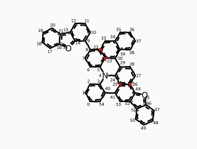 c1ccc(N(c2ccc(-c3cccc4c3oc3ccccc34)cc2)c2ccccc2-c2cccc3ccccc23)c(-c2ccc3oc4ccccc4c3c2)c1